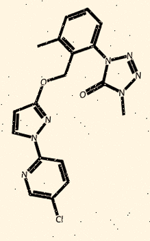 Cc1cccc(-n2nnn(C)c2=O)c1COc1ccn(-c2ccc(Cl)cn2)n1